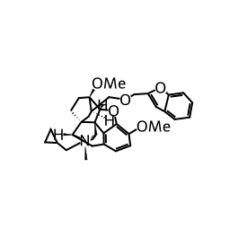 COc1ccc2c3c1O[C@H]1[C@@]4(OC)CC[C@@]5(C[C@@H]4COCc4cc6ccccc6o4)[C@@H](C2)[N@@+](C)(CC2CC2)CC[C@]315